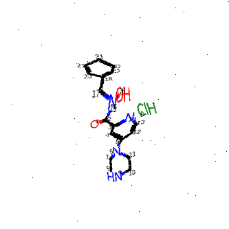 Cl.O=C(c1cc(N2CCNCC2)ccn1)N(O)Cc1ccccc1